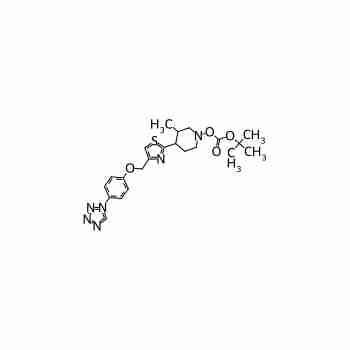 CC1CN(OC(=O)OC(C)(C)C)CCC1c1nc(COc2ccc(-n3cnnn3)cc2)cs1